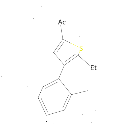 CCc1sc(C(C)=O)cc1-c1ccccc1C